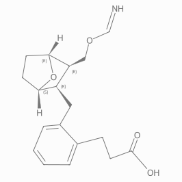 N=COC[C@H]1[C@@H](Cc2ccccc2CCC(=O)O)[C@@H]2CC[C@H]1O2